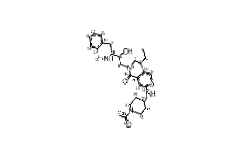 CC[C@@H]1CN(C[C@H](O)[C@@H]2Cc3ccccc3CN2)C(=O)c2cc(NC3CCN(C(C)=O)CC3)ncc21